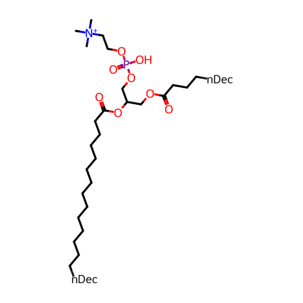 CCCCCCCCCCCCCCCCCCCCCCCC(=O)OC(COC(=O)CCCCCCCCCCCCC)COP(=O)(O)OCC[N+](C)(C)C